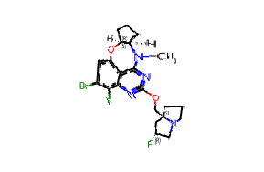 CN1c2nc(OC[C@@]34CCCN3C[C@H](F)C4)nc3c(F)c(Br)cc(c23)O[C@H]2CCC[C@H]21